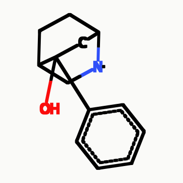 OC1(c2ccccc2)CC2CCC1C[N]2